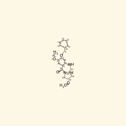 COc1cc2c(cc1OCc1ccccc1)NC[C@@H]1C[C@H](OC)CN1C2=O